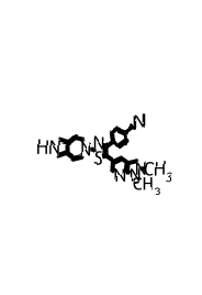 CN1Cc2cc(-c3sc(N4CCC5CNCC5CC4)nc3-c3ccc(C#N)cc3)cnc2N1C